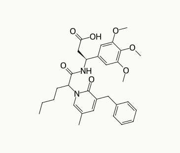 CCCCC(C(=O)N[C@@H](CC(=O)O)c1cc(OC)c(OC)c(OC)c1)n1cc(C)cc(Cc2ccccc2)c1=O